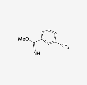 COC(=N)c1cccc(C(F)(F)F)c1